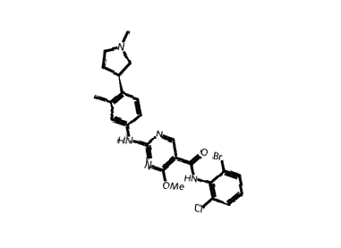 COc1nc(Nc2ccc([C@H]3CCN(C)C3)c(C)c2)ncc1C(=O)Nc1c(Cl)cccc1Br